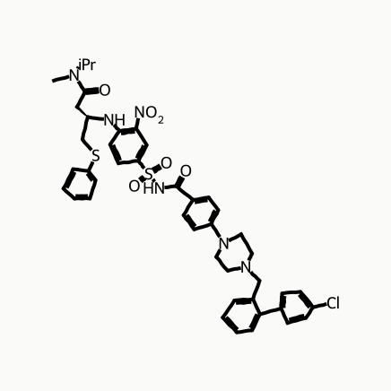 CC(C)N(C)C(=O)C[C@H](CSc1ccccc1)Nc1ccc(S(=O)(=O)NC(=O)c2ccc(N3CCN(Cc4ccccc4-c4ccc(Cl)cc4)CC3)cc2)cc1[N+](=O)[O-]